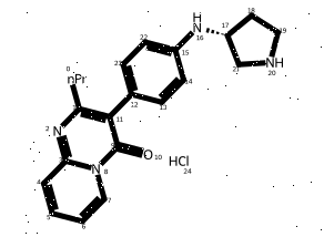 CCCc1nc2ccccn2c(=O)c1-c1ccc(N[C@@H]2CCNC2)cc1.Cl